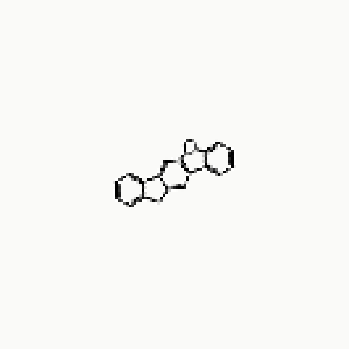 c1ccc2c(c1)Cc1cc3c(cc1-2)oc1ccccc13